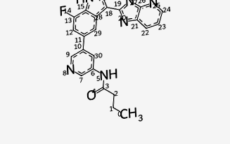 CCCC(=O)Nc1cncc(-c2cc(F)c3[nH]nc(-c4nc5cccnc5[nH]4)c3c2)c1